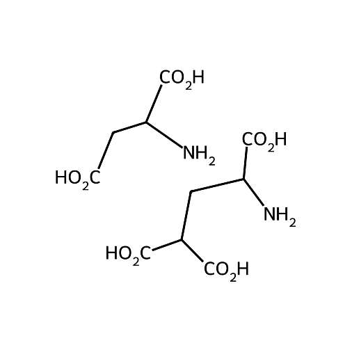 NC(CC(=O)O)C(=O)O.NC(CC(C(=O)O)C(=O)O)C(=O)O